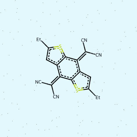 CCc1cc2c(=C(C#N)C#N)c3sc(CC)cc3c(=C(C#N)C#N)c2s1